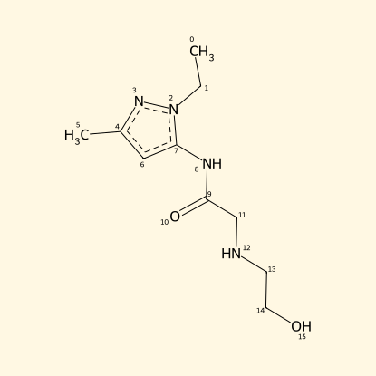 CCn1nc(C)cc1NC(=O)CNCCO